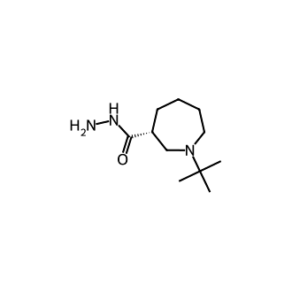 CC(C)(C)N1CCCC[C@@H](C(=O)NN)C1